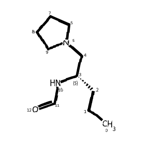 CCC[C@@H](CN1CCCC1)NC=O